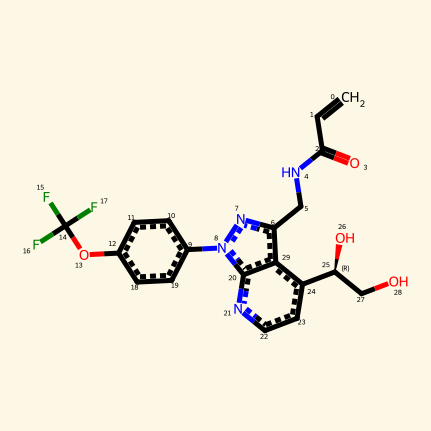 C=CC(=O)NCc1nn(-c2ccc(OC(F)(F)F)cc2)c2nccc([C@@H](O)CO)c12